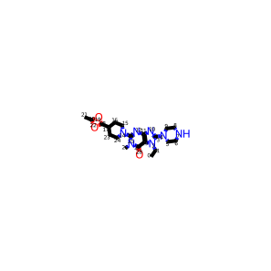 CCn1c(N2CCNCC2)nc2nc(N3CCC(C4OC(C)O4)CC3)n(C)c(=O)c21